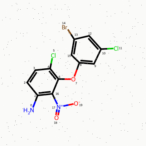 Nc1ccc(Cl)c(Oc2cc(Cl)cc(Br)c2)c1[N+](=O)[O-]